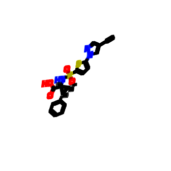 C#Cc1cnn(-c2ccc(S(=O)(=O)N[C@@]3(C(=O)O)[C@H](C)[C@@H]3c3ccccc3)s2)c1